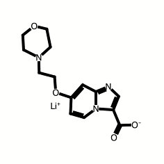 O=C([O-])c1cnc2cc(OCCN3CCOCC3)ccn12.[Li+]